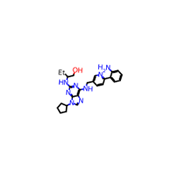 CCC(CO)Nc1nc(NCc2ccc(-c3ccccc3N)nc2)c2ncn(C3CCCC3)c2n1